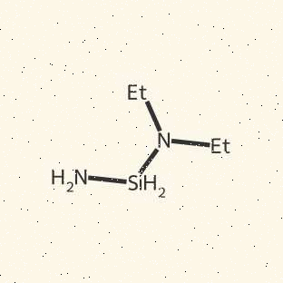 CCN(CC)[SiH2]N